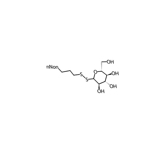 CCCCCCCCCCCCSSC1O[C@H](CO)[C@@H](O)[C@H](O)[C@H]1O